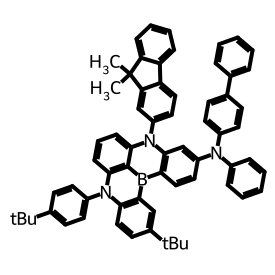 CC(C)(C)c1ccc(N2c3ccc(C(C)(C)C)cc3B3c4ccc(N(c5ccccc5)c5ccc(-c6ccccc6)cc5)cc4N(c4ccc5c(c4)C(C)(C)c4ccccc4-5)c4cccc2c43)cc1